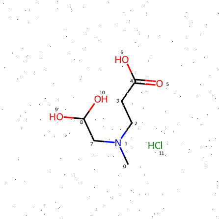 CN(CCC(=O)O)CC(O)O.Cl